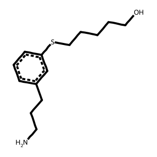 NCCCc1cccc(SCCCCCO)c1